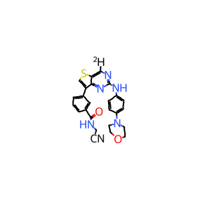 [2H]c1nc(Nc2ccc(N3CCOCC3)cc2)nc2c(-c3cccc(C(=O)NCC#N)c3)csc12